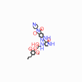 C=CCc1cc(OC)c(OCC(O)CNc2cc[nH]c(=O)c2-c2nc3cc4c(cc3[nH]2)C(=O)N(C2CCN(C)CC2)C4=O)c(OC)c1